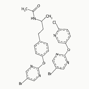 CC(=O)NC(C)CCc1ccc(Oc2ncc(Br)cn2)cc1.Clc1ccc(Oc2ncc(Br)cn2)cn1